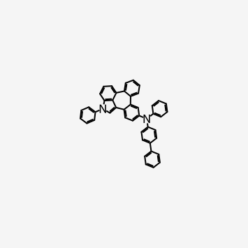 c1ccc(-c2ccc(N(c3ccccc3)c3ccc4c(c3)-c3ccccc3-c3cccc5c3c-4cn5-c3ccccc3)cc2)cc1